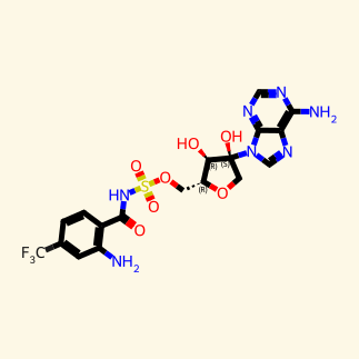 Nc1cc(C(F)(F)F)ccc1C(=O)NS(=O)(=O)OC[C@H]1OC[C@@](O)(n2cnc3c(N)ncnc32)[C@@H]1O